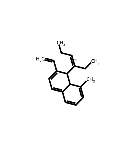 C=CC1=CC=C2C=CC=C(C)C2C1/C(=C\CC)CC